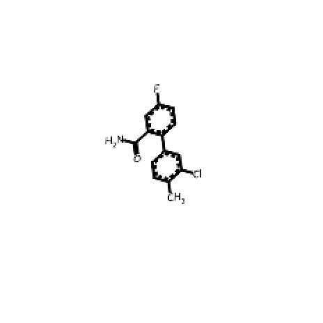 Cc1ccc(-c2ccc(F)cc2C(N)=O)cc1Cl